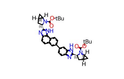 CC(C)(C)OC(=O)N1[C@@H]2C[C@@H]2C[C@H]1c1nc2ccc(-c3ccc4c(ccc5nc([C@@H]6C[C@H]7C[C@H]7N6C(=O)OC(C)(C)C)[nH]c54)c3)cc2[nH]1